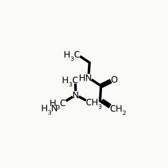 C=CC(=O)NCC.CN(C)C.N